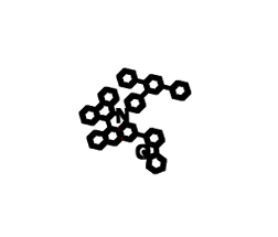 c1ccc(-c2ccc(-c3ccccc3)c(-c3ccc(N(c4cccc(-c5cccc6c5oc5ccccc56)c4)c4c(-c5cccc6ccccc56)c5ccccc5c5ccccc45)cc3)c2)cc1